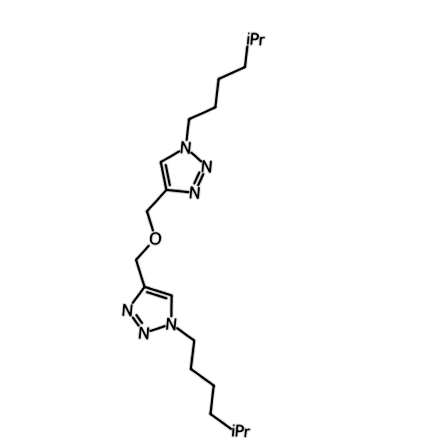 CC(C)CCCCn1cc(COCc2cn(CCCCC(C)C)nn2)nn1